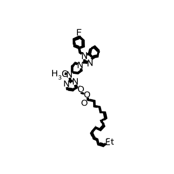 CC/C=C\C/C=C\C/C=C\C/C=C\CCCCC(=O)OCOc1ccnc(N(C)C2CCN(c3nc4ccccc4n3Cc3ccc(F)cc3)CC2)n1